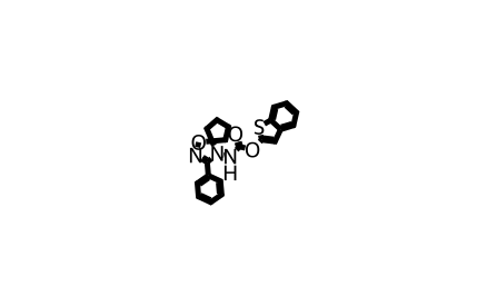 O=C(NN1C(c2ccccc2)=NOC12CCCC2)Oc1cc2ccccc2s1